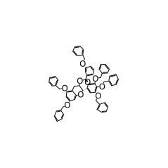 O=C(O[C@@H]1Cc2c(OCc3ccccc3)cc(OCc3ccccc3)cc2O[C@H]1c1cc(OCc2ccccc2)c(OCc2ccccc2)c(OCc2ccccc2)c1)c1cccc(OCc2ccccc2)c1